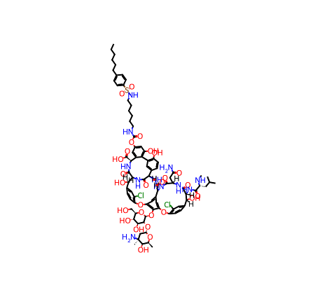 CCCCCCc1ccc(S(=O)(=O)NCCCCCCNC(=O)Oc2cc(O)c3c(c2)[C@H](C(=O)O)NC(=O)[C@H]2NC(=O)[C@H](NC(=O)[C@@H]4NC(=O)[C@H](CC(N)=O)NC(=O)[C@H](NC(=O)[C@@H](CC(C)C)NC)[C@H](O)c5ccc(c(Cl)c5)Oc5cc4cc(c5O[C@@H]4O[C@H](CO)[C@@H](O)[C@H](O)[C@H]4O[C@H]4C[C@](C)(N)[C@H](O)[C@H](C)O4)Oc4ccc(cc4Cl)[C@H]2O)c2ccc(O)c-3c2)cc1